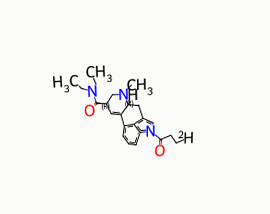 [2H]CCC(=O)n1cc2c3c(cccc31)C1=C[C@@H](C(=O)N(CC)CC)CN(C)[C@@H]1C2